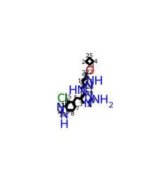 Nc1ncc(Cc2ccc3[nH]cnc3c2Cl)c(Nc2cc(COC3CCC3)[nH]n2)n1